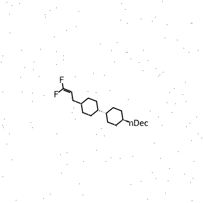 CCCCCCCCCC[C@H]1CC[C@H](C2CCC(CC=C(F)F)CC2)CC1